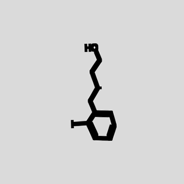 OCC[CH]Cc1ccccc1I